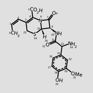 C/C=C\C1=C(C(=O)O)N2C(=O)[C@@H](NC(=O)C(N)c3ccc(O)c(OC)c3)[C@@H]2SC1